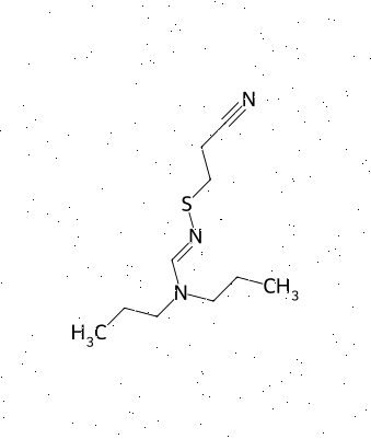 CCCN(C=NSCCC#N)CCC